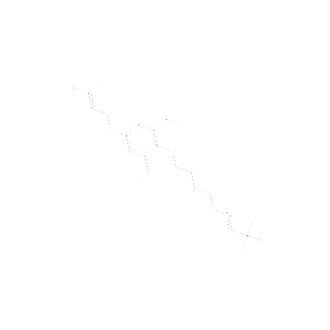 CCc1cc(OCC=C(Cl)Cl)cc(CC)c1OCCCCON=CC(C)(C)C